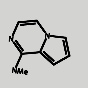 CNc1nccn2cccc12